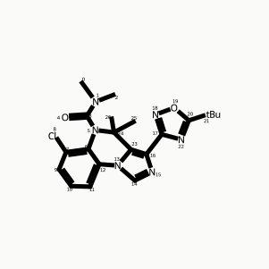 CN(C)C(=O)N1c2c(Cl)cccc2-n2cnc(-c3noc(C(C)(C)C)n3)c2C1(C)C